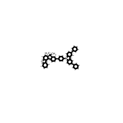 CC1(C)c2cc(-c3ccc(-n4c5ccc(-c6ccccc6)cc5c5cc(-c6ccccc6)ccc54)cc3)ccc2-c2c1ccc1oc3ccccc3c21